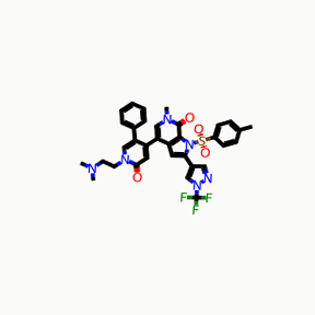 Cc1ccc(S(=O)(=O)n2c(-c3cnn(C(F)(F)F)c3)cc3c(-c4cc(=O)n(CCN(C)C)cc4-c4ccccc4)cn(C)c(=O)c32)cc1